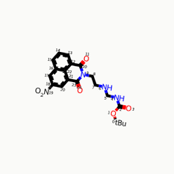 CC(C)(C)OC(=O)NCNCCN1C(=O)c2cccc3cc([N+](=O)[O-])cc(c23)C1=O